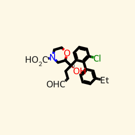 CCc1cccc(-c2c(Cl)cccc2[C@@](O)(CCC=O)C2CN(C(=O)O)CCO2)c1